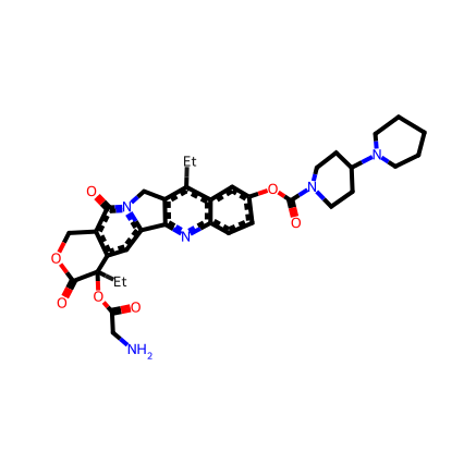 CCc1c2c(nc3ccc(OC(=O)N4CCC(N5CCCCC5)CC4)cc13)-c1cc3c(c(=O)n1C2)COC(=O)C3(CC)OC(=O)CN